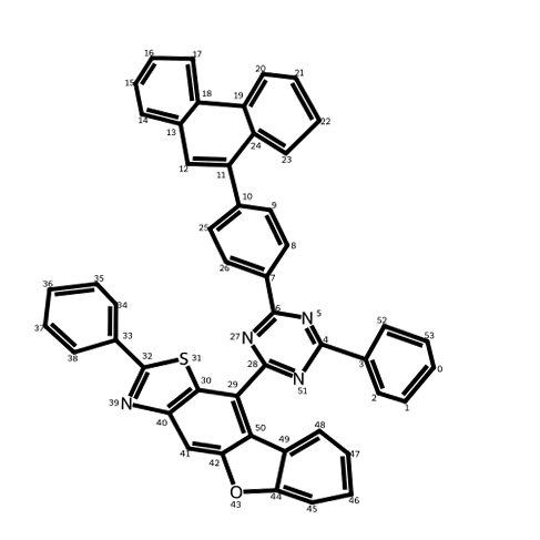 c1ccc(-c2nc(-c3ccc(-c4cc5ccccc5c5ccccc45)cc3)nc(-c3c4sc(-c5ccccc5)nc4cc4oc5ccccc5c34)n2)cc1